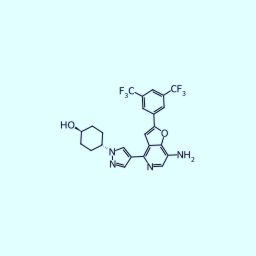 Nc1cnc(-c2cnn([C@H]3CC[C@H](O)CC3)c2)c2cc(-c3cc(C(F)(F)F)cc(C(F)(F)F)c3)oc12